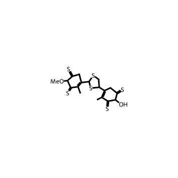 COC1C(=S)CC(C2SCC(C3=C(C)C(=S)C(O)C(=S)C3)S2)=C(C)C1=S